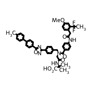 COc1ccc(CC(=O)Nc2ccc(C(=O)N(CC(=O)NC(C)(C)C(=O)O)Cc3ccc(-c4noc(-c5ccc(-c6ccc(C)cc6)cc5)n4)cc3)cc2)c(C(C)(F)F)c1